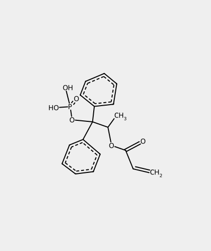 C=CC(=O)OC(C)C(OP(=O)(O)O)(c1ccccc1)c1ccccc1